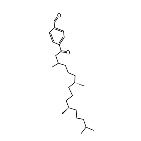 CC(C)CCC[C@@H](C)CCC[C@@H](C)CCCC(C)CC(=O)c1ccc(C=O)cc1